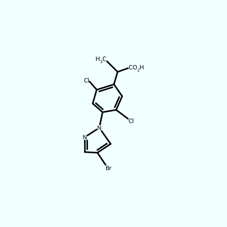 CC(C(=O)O)c1cc(Cl)c(-n2cc(Br)cn2)cc1Cl